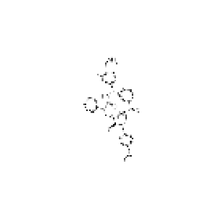 CCOc1ccc([C@@H](CNC(=O)c2ccncc2)C(=O)NC[C@H](C(=O)NCc2ccc(CN)c(F)c2)c2ccccc2)cc1